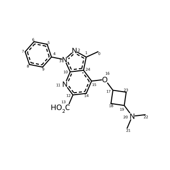 Cc1nn(-c2ccccc2)c2nc(C(=O)O)cc(OC3CC(N(C)C)C3)c12